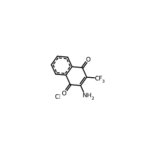 NC1=C(C(F)(F)F)C(=O)c2ccccc2C1=O.[C]